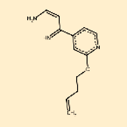 C=CCCOc1cc(C(=N)/C=C\N)ccn1